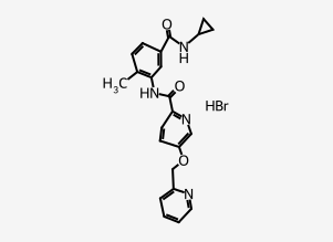 Br.Cc1ccc(C(=O)NC2CC2)cc1NC(=O)c1ccc(OCc2ccccn2)cn1